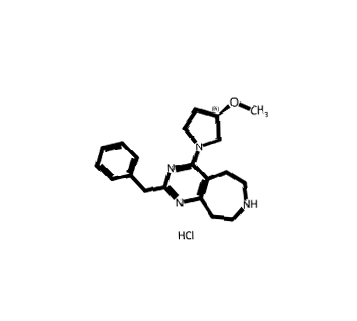 CO[C@@H]1CCN(c2nc(Cc3ccccc3)nc3c2CCNCC3)C1.Cl